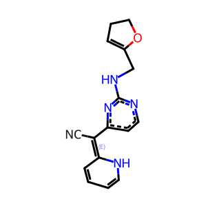 N#C/C(=C1\C=CC=CN1)c1ccnc(NCC2=CCCO2)n1